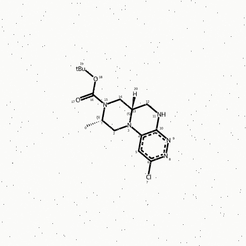 C[C@H]1CN2c3cc(Cl)nnc3NC[C@H]2CN1C(=O)OC(C)(C)C